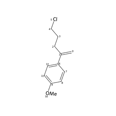 C=C(CCCCl)c1ccc(OC)cc1